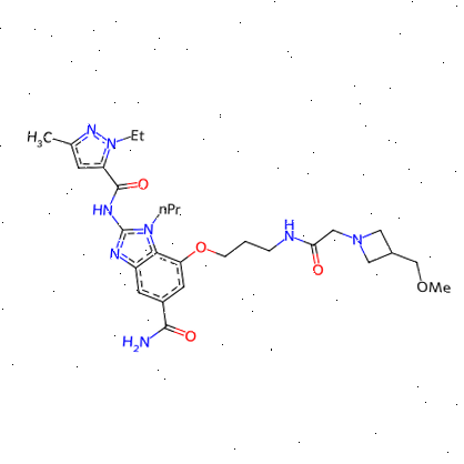 CCCn1c(NC(=O)c2cc(C)nn2CC)nc2cc(C(N)=O)cc(OCCCNC(=O)CN3CC(COC)C3)c21